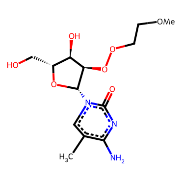 COCCOO[C@@H]1[C@H](O)[C@@H](CO)O[C@H]1n1cc(C)c(N)nc1=O